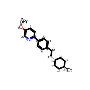 CCCOc1ccc(-c2ccc(CC[C@H]3CC[C@H](CC)CC3)cc2)nc1